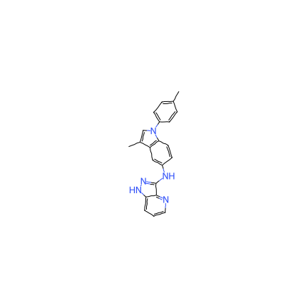 Cc1ccc(-n2cc(C)c3cc(Nc4n[nH]c5cccnc45)ccc32)cc1